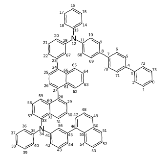 c1ccc(-c2ccc(-c3ccc(N(c4ccccc4)c4cccc(-c5ccc(-c6cccc7c(N(c8ccccc8)c8cccc(-c9cccc%10ccccc9%10)c8)cccc67)c6ccccc56)c4)cc3)cc2)cc1